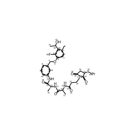 Cc1ccc(OCc2cccc(NC(=O)[C@H](C)NC(=O)C(C)NC(=O)CCN3C(=O)CC(SC(C)C)C3=O)c2)c(F)c1C(C)O